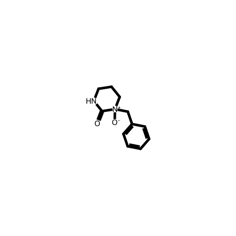 O=C1NCCC[N+]1([O-])Cc1ccccc1